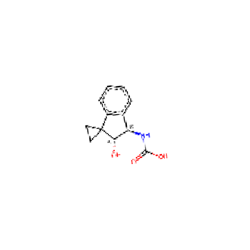 O=C(O)N[C@@H]1c2ccccc2C2(CC2)[C@H]1O